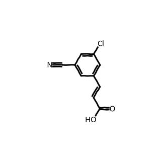 N#Cc1cc(Cl)cc(/C=C/C(=O)O)c1